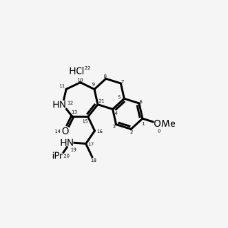 COc1ccc2c(c1)CCC1CCNC(=O)C(CC(C)NC(C)C)=C21.Cl